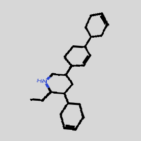 CCC1NCC(C2C=CC(C3CC=CCC3)CC2)CC1C1CC=CCC1